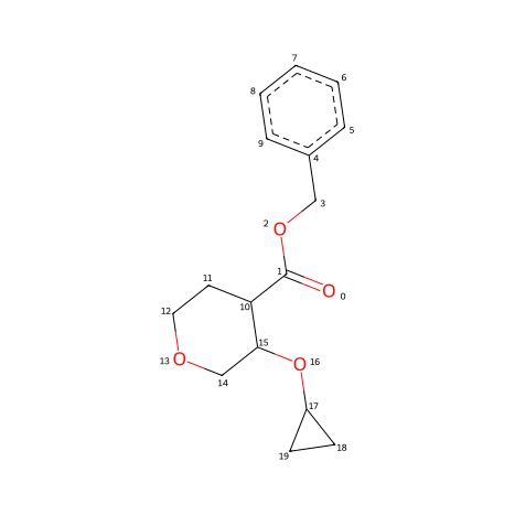 O=C(OCc1ccccc1)C1CCOCC1OC1CC1